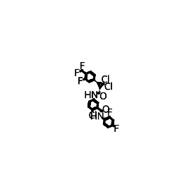 O=C(Nc1ccc(F)cc1F)c1cc(NC(=O)[C@@H]2[C@@H](c3ccc(C(F)F)c(F)c3)C2(Cl)Cl)ccc1Cl